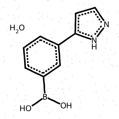 O.OB(O)c1cccc(-c2ccn[nH]2)c1